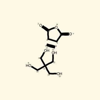 C=C.O=C1CCC(=O)O1.OCC(CO)(CO)CO